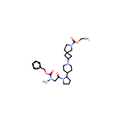 CCOC(=O)N1CCC2(CC(N3CCC(C4CCCN4C(=O)CN(C)C(=O)OCc4ccccc4)CC3)C2)C1